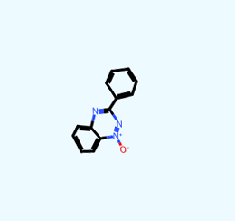 [O-][n+]1nc(-c2ccccc2)nc2ccccc21